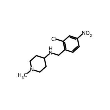 CN1CCC(NCc2ccc([N+](=O)[O-])cc2Cl)CC1